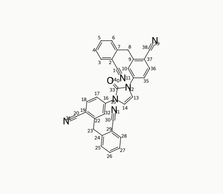 N#Cc1ccccc1Cc1cc(-n2ccn(-c3ccc(C#N)c(Cc4ccccc4C#N)c3)c2=O)ccc1C#N